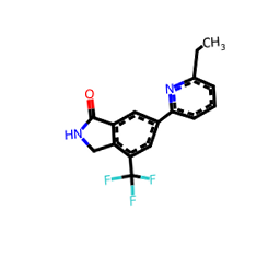 CCc1cccc(-c2cc3c(c(C(F)(F)F)c2)CNC3=O)n1